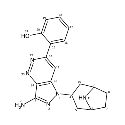 Nc1nn(C2CC3CCC(C2)N3)c2cc(-c3ccccc3O)nnc12